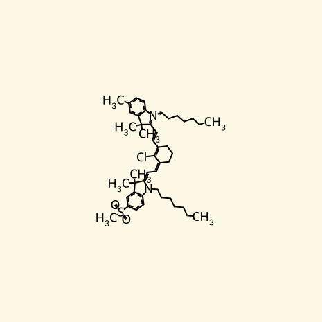 CCCCCCCN1C(=CC=C2CCCC(C=CC3=[N+](CCCCCCC)c4ccc(C)cc4C3(C)C)=C2Cl)C(C)(C)c2cc(S(C)(=O)=O)ccc21